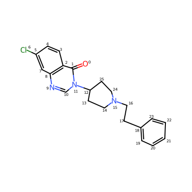 O=c1c2ccc(Cl)cc2ncn1C1CCN(CCc2ccccc2)CC1